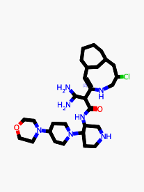 NC(N)C(C(=O)NC1CNCCC1N1CCC(N2CCOCC2)CC1)/C1=C/C2CCCCC(CC(Cl)CN1)C2